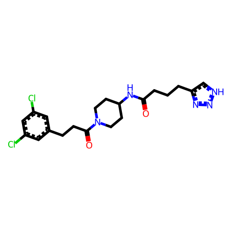 O=C(CCCc1c[nH]nn1)NC1CCN(C(=O)CCc2cc(Cl)cc(Cl)c2)CC1